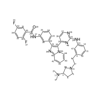 CN(C)C1CCN(CCc2cccc(Nc3nccc(-c4c(-c5cccc(NC(=O)c6cc(F)ccc6F)c5)nc5ccccn45)n3)c2)C1